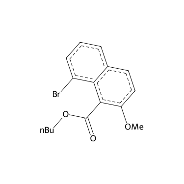 CCCCOC(=O)c1c(OC)ccc2cccc(Br)c12